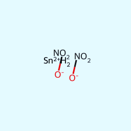 O=[N+]([O-])[O-].O=[N+]([O-])[O-].[SnH2+2]